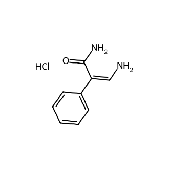 Cl.NC=C(C(N)=O)c1ccccc1